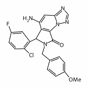 COc1ccc(CN2C(=O)c3c(c(N)cc4ncnn34)C2c2cc(F)ccc2Cl)cc1